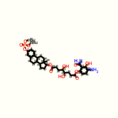 CCCCOP(=O)(OCCCC)Oc1ccc2c(c1)CCC1C2CCC2(C)C(OC(=O)CCC(O)C(O)CCC(=O)Oc3ccc(N)c(O)c3C(N)=O)CCC12